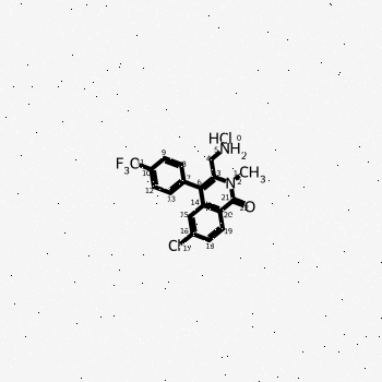 Cl.Cn1c(CN)c(-c2ccc(C(F)(F)F)cc2)c2cc(Cl)ccc2c1=O